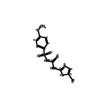 COc1ccc(S(=O)(=O)NC(=O)Nc2ncc(Br)s2)cc1